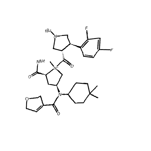 CNC(=O)[C@@H]1C[C@H](N(C(=O)C2=CCOC2)C2CCC(C)(C)CC2)C[N+]1(C)C(=O)[C@@H]1CN(C(C)(C)C)C[C@H]1c1ccc(F)cc1F